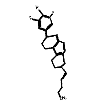 CCC/C=C/C1CCc2c(ccc3c2CCC(c2cc(F)c(F)c(F)c2)C3)C1